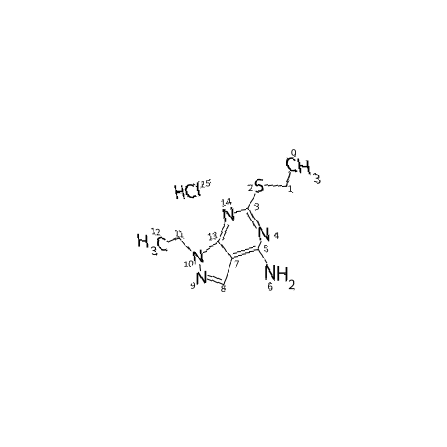 CCSc1nc(N)c2cnn(CC)c2n1.Cl